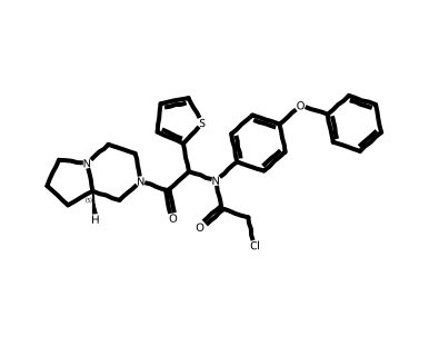 O=C(C(c1cccs1)N(C(=O)CCl)c1ccc(Oc2ccccc2)cc1)N1CCN2CCC[C@H]2C1